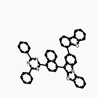 c1ccc(-c2nc(-c3ccccc3)nc(-c3ccc(-c4c5cc(-c6cccc7c6oc6ccccc67)ccc5n5c4oc4ccccc45)c4ccccc34)n2)cc1